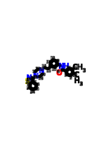 Cc1ccc(C(=O)Nc2cccc(CCN3CCN(c4nsc5ccccc45)CC3)c2)cc1C